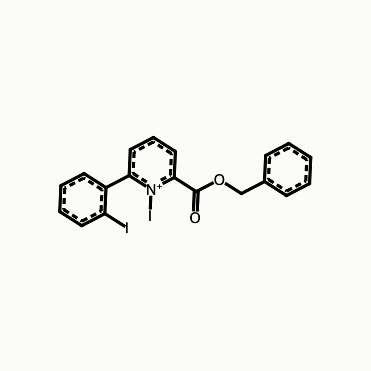 O=C(OCc1ccccc1)c1cccc(-c2ccccc2I)[n+]1I